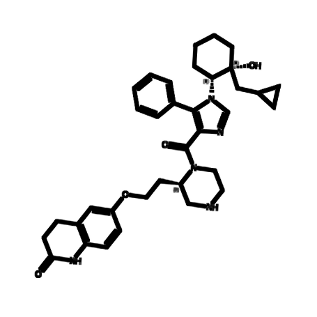 O=C1CCc2cc(OCC[C@@H]3CNCCN3C(=O)c3ncn([C@@H]4CCCC[C@@]4(O)CC4CC4)c3-c3ccccc3)ccc2N1